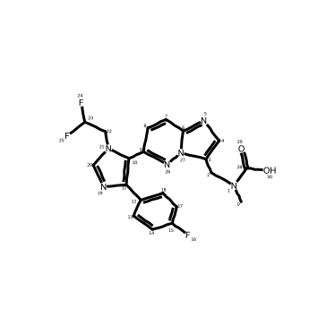 CN(Cc1cnc2ccc(-c3c(-c4ccc(F)cc4)ncn3CC(F)F)nn12)C(=O)O